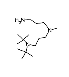 CN(CCCN)CCCN(C(C)(C)C)C(C)(C)C